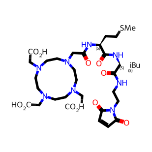 CC[C@H](C)[C@H](NC(=O)[C@H](CCSC)NC(=O)CN1CCN(CC(=O)O)CCN(CC(=O)O)CCN(CC(=O)O)CC1)C(=O)NCCN1C(=O)C=CC1=O